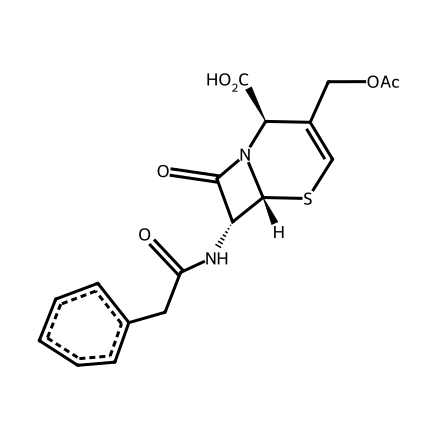 CC(=O)OCC1=CS[C@@H]2[C@H](NC(=O)Cc3ccccc3)C(=O)N2[C@H]1C(=O)O